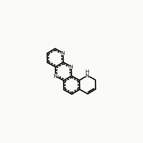 C1=Cc2ccc3nc4cccnc4nc3c2NC1